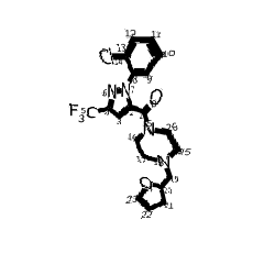 O=C(c1cc(C(F)(F)F)nn1-c1ccccc1Cl)N1CCN(CC2CCCO2)CC1